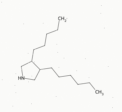 [CH2]CCCCC1CNCC1CCCCCC